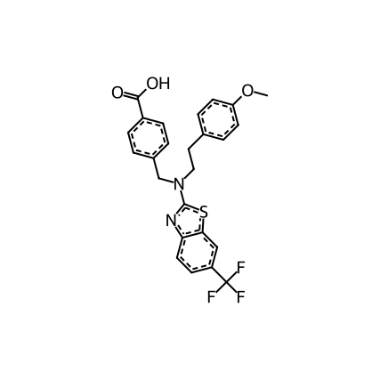 COc1ccc(CCN(Cc2ccc(C(=O)O)cc2)c2nc3ccc(C(F)(F)F)cc3s2)cc1